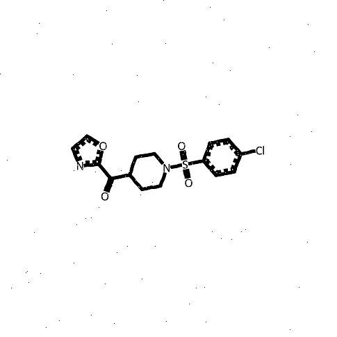 O=C(c1ncco1)C1CCN(S(=O)(=O)c2ccc(Cl)cc2)CC1